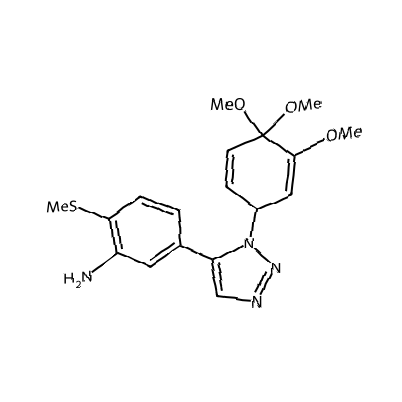 COC1=CC(n2nncc2-c2ccc(SC)c(N)c2)C=CC1(OC)OC